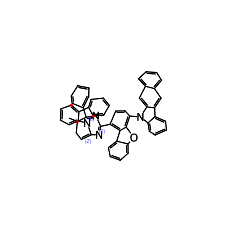 CC1C/C=C(n2c3ccccc3c3ccccc32)/N=C(c2ccc(-n3c4ccccc4c4cc5ccccc5cc43)c3oc4ccccc4c23)\N=C/1c1ccccc1